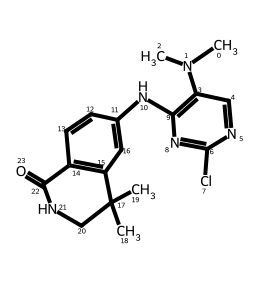 CN(C)c1cnc(Cl)nc1Nc1ccc2c(c1)C(C)(C)CNC2=O